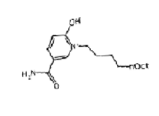 CCCCCCCCCCCC[n+]1cc(C(N)=O)ccc1O